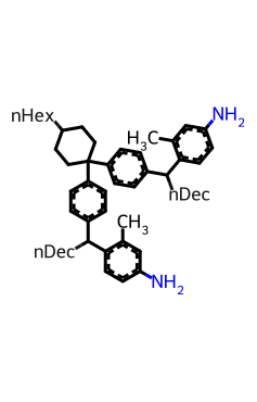 CCCCCCCCCCC(c1ccc(C2(c3ccc(C(CCCCCCCCCC)c4ccc(N)cc4C)cc3)CCC(CCCCCC)CC2)cc1)c1ccc(N)cc1C